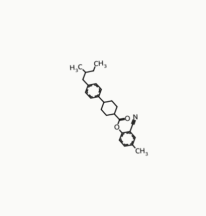 CCC(C)Cc1ccc(C2CCC(C(=O)Oc3ccc(C)cc3C#N)CC2)cc1